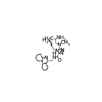 CC#CCn1c(C(=O)NCc2nc3ccccc3c3ccccc23)nnc1N(C)CC(C)N